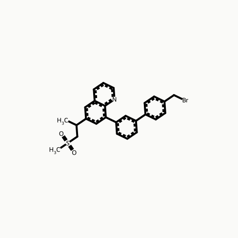 CC(CS(C)(=O)=O)c1cc(-c2cccc(-c3ccc(CBr)cc3)c2)c2ncccc2c1